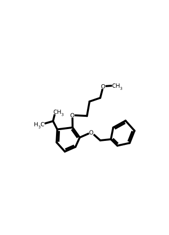 COCCCOc1c(OCc2ccccc2)cccc1C(C)C